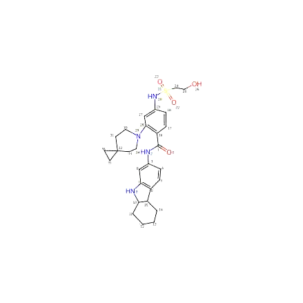 O=C(Nc1ccc2c(c1)NC1CCCCC21)c1ccc(NS(=O)(=O)CCO)cc1N1CCC2(CC1)CC2